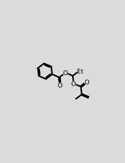 C=C(C)C(=O)OC(CC)OC(=O)c1cc[c]cc1